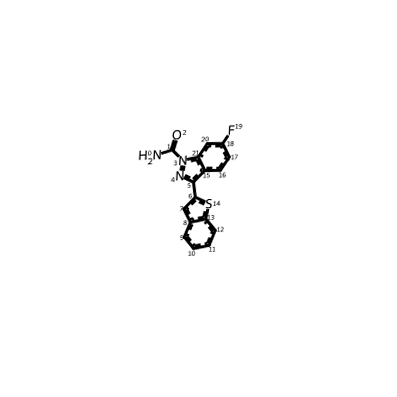 NC(=O)n1nc(-c2cc3ccccc3s2)c2c[c]c(F)cc21